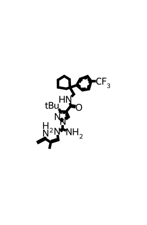 C=C(N)/C(C)=C\N=C(/N)n1cc(C(=O)NCC2(c3ccc(C(F)(F)F)cc3)CCCCC2)c(C(C)(C)C)n1